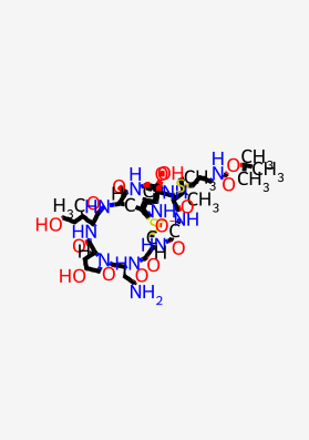 CC[C@H](C)[C@@H]1NC(=O)CNC(=O)[C@@H]2Cc3c([nH]c4c(CSCCCNC(=O)OC(C)(C)C)c(O)ccc34)[S+]([O-])C[C@H](NC(=O)CNC1=O)C(=O)N[C@@H](CC(N)=O)C(=O)N1C[C@H](O)C[C@H]1C(=O)N[C@@H]([C@@H](C)CCO)C(=O)N2